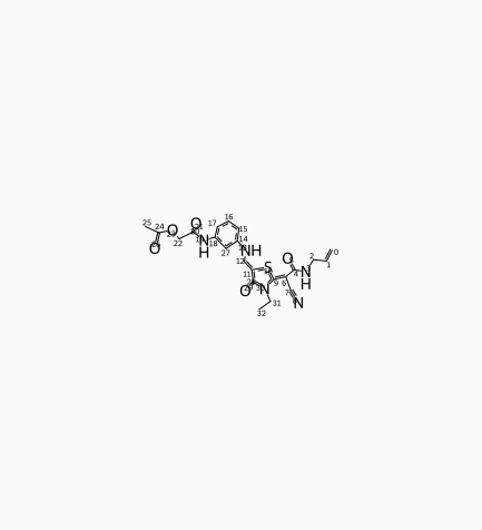 C=CCNC(=O)C(C#N)=c1sc(=CNc2cccc(NC(=O)COC(C)=O)c2)c(=O)n1CC